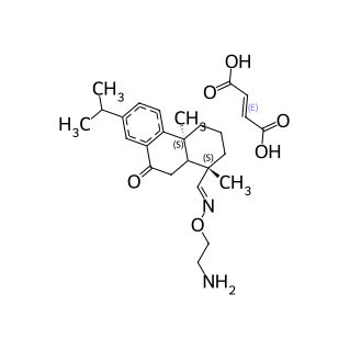 CC(C)c1ccc2c(c1)C(=O)CC1[C@@](C)(C=NOCCN)CCC[C@]21C.O=C(O)/C=C/C(=O)O